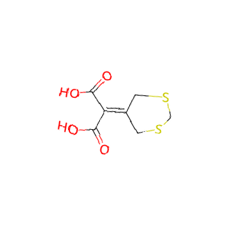 O=C(O)C(C(=O)O)=C1CSCSC1